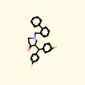 O=C1CCN(Cc2ccccc2-c2ccccc2)CC1C(c1ccc(F)cc1)c1ccc(F)cc1